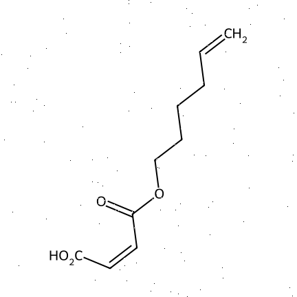 C=CCCCCOC(=O)/C=C\C(=O)O